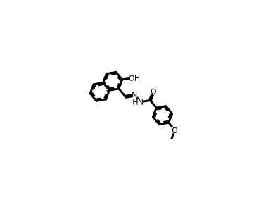 COc1ccc(C(=O)N/N=C/c2c(O)ccc3ccccc23)cc1